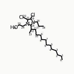 CCCCCCCCCCCCC(C)C1N(CCC)C(Cl)C(Cl)N1CCO